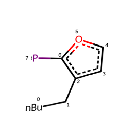 CCCCCc1ccoc1[P]